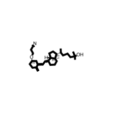 C=C1CC[C@H](OCCC#N)CC1=CC=C1CCC[C@]2(C)[C@@H](C(C)CCCC(C)(C)O)CC[C@@H]12